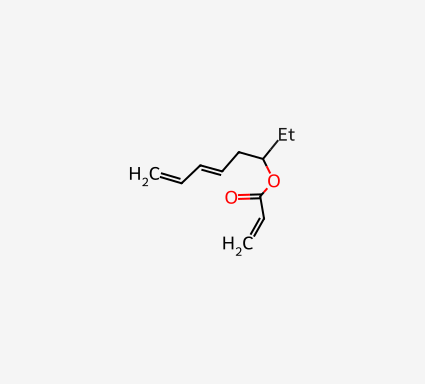 C=CC=CCC(CC)OC(=O)C=C